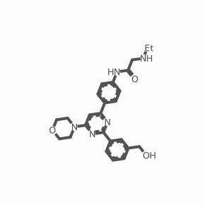 CCNCC(=O)Nc1ccc(-c2cc(N3CCOCC3)nc(-c3cccc(CO)c3)n2)cc1